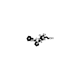 CCn1c(CCO)nc2sc(N3CCC[C@@H]3C(=O)NCc3ccccc3)nc2c1=O